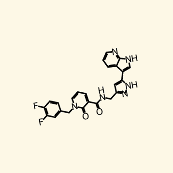 O=C(NCc1cc(-c2c[nH]c3ncccc23)[nH]n1)c1cccn(Cc2ccc(F)c(F)c2)c1=O